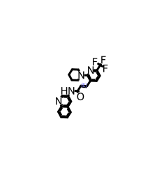 O=C(/C=C/c1ccc(C(F)(F)F)nc1N1CCCCC1)Nc1cnc2ccccc2c1